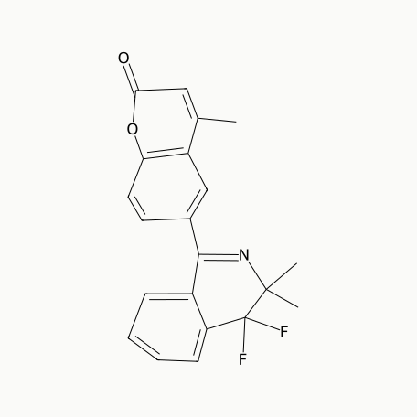 Cc1cc(=O)oc2ccc(C3=NC(C)(C)C(F)(F)c4ccccc43)cc12